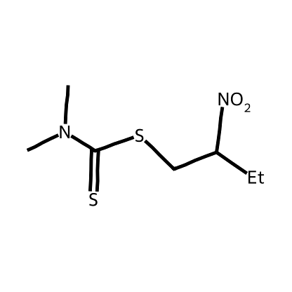 CCC(CSC(=S)N(C)C)[N+](=O)[O-]